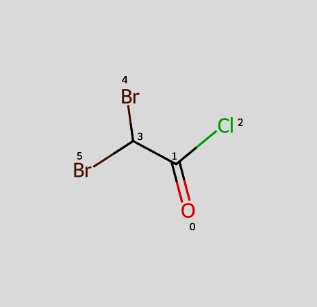 O=C(Cl)C(Br)Br